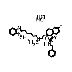 CC(C)[C@H]1c2ccc(F)cc2CC[C@@]1(CCN(C)CCCCCc1nc2ccccc2n1C)OC(=O)NCc1ccccc1.Cl.Cl